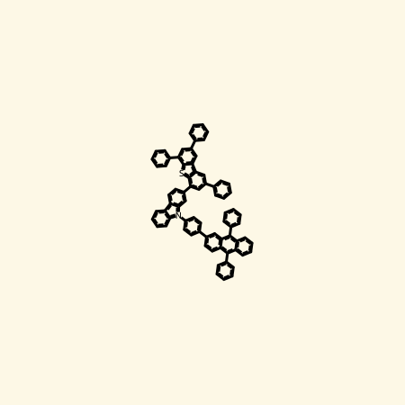 c1ccc(-c2cc(-c3ccccc3)c3sc4c(-c5ccc6c7ccccc7n(-c7ccc(-c8ccc9c(-c%10ccccc%10)c%10ccccc%10c(-c%10ccccc%10)c9c8)cc7)c6c5)cc(-c5ccccc5)cc4c3c2)cc1